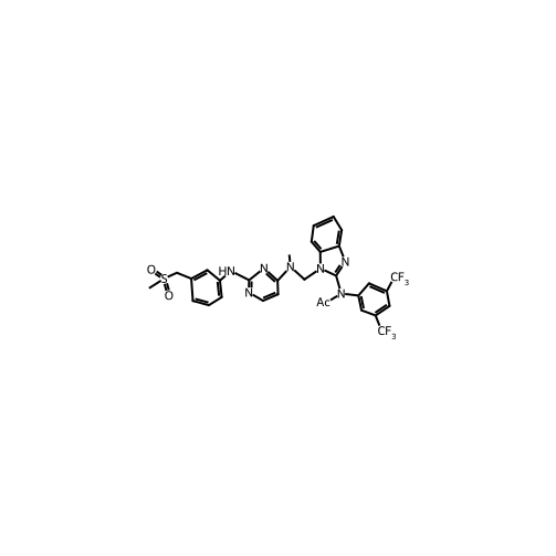 CC(=O)N(c1cc(C(F)(F)F)cc(C(F)(F)F)c1)c1nc2ccccc2n1CN(C)c1ccnc(Nc2cccc(CS(C)(=O)=O)c2)n1